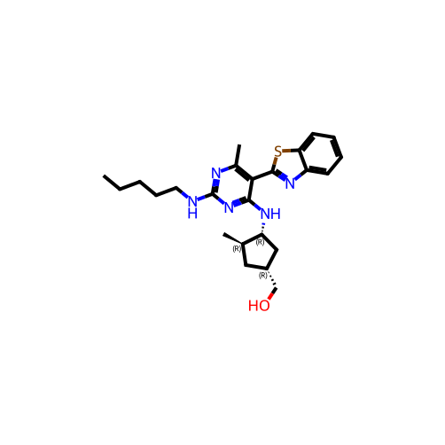 CCCCCNc1nc(C)c(-c2nc3ccccc3s2)c(N[C@@H]2C[C@H](CO)C[C@H]2C)n1